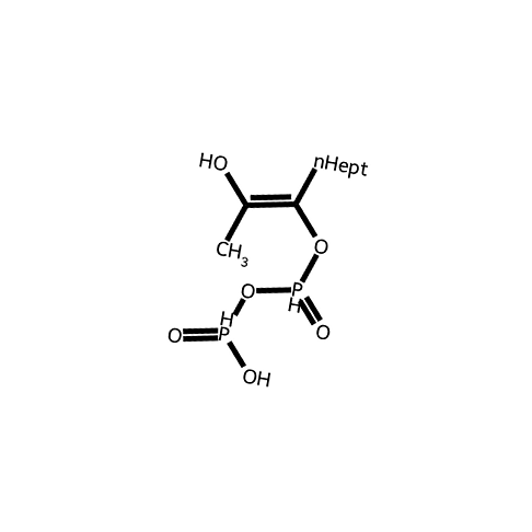 CCCCCCCC(O[PH](=O)O[PH](=O)O)=C(C)O